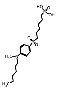 CCCCCCN(C)c1ccc(S(=O)(=O)CCCCCCP(=O)(O)O)cc1